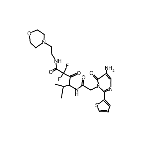 CC(C)C(NC(=O)Cn1c(-c2cccs2)ncc(N)c1=O)C(=O)C(F)(F)C(=O)NCCN1CCOCC1